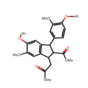 CCCOc1ccc(C2c3cc(OCCC)c(OC)cc3C(CC(=O)OC)C2C(=O)OC)cc1OC